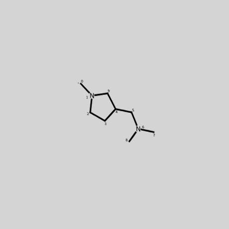 [CH2]N1CCC(CN(C)C)C1